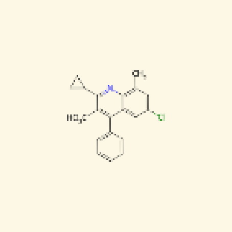 Cc1cc(Cl)cc2c(-c3ccccc3)c(C(=O)O)c(C3CC3)nc12